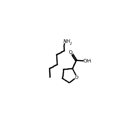 CCCCCN.O=C(O)C1CCCO1